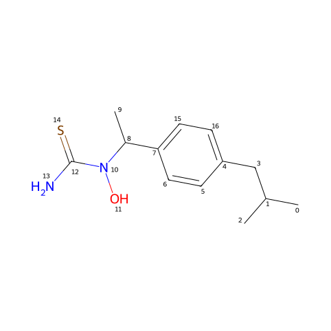 CC(C)Cc1ccc(C(C)N(O)C(N)=S)cc1